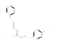 CCOC(=O)c1ccc(OCCC(CCCOc2ccccc2)C(=O)OCC)cc1